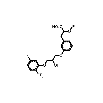 CC(C)OC(Cc1cccc(OCC(O)COc2cc(F)ccc2C(F)(F)F)c1)C(=O)O